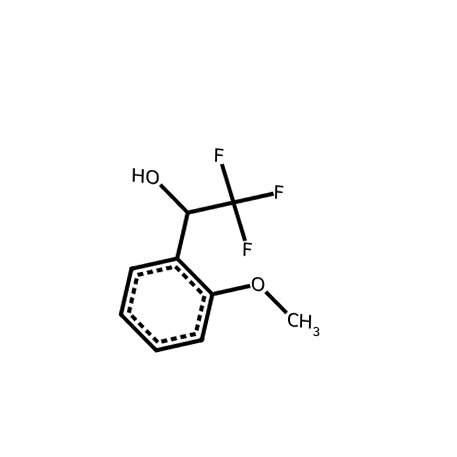 COc1ccccc1C(O)C(F)(F)F